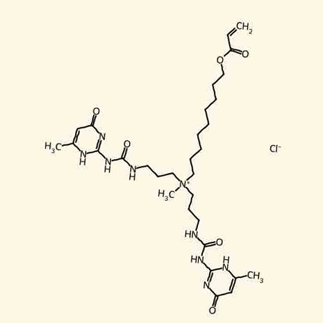 C=CC(=O)OCCCCCCCCC[N+](C)(CCCNC(=O)Nc1nc(=O)cc(C)[nH]1)CCCNC(=O)Nc1nc(=O)cc(C)[nH]1.[Cl-]